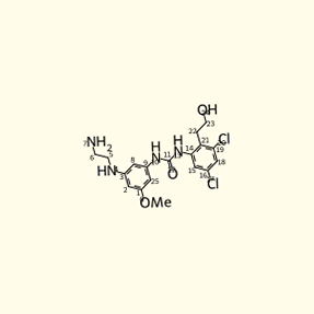 COc1cc(NCCN)cc(NC(=O)Nc2cc(Cl)cc(Cl)c2CCO)c1